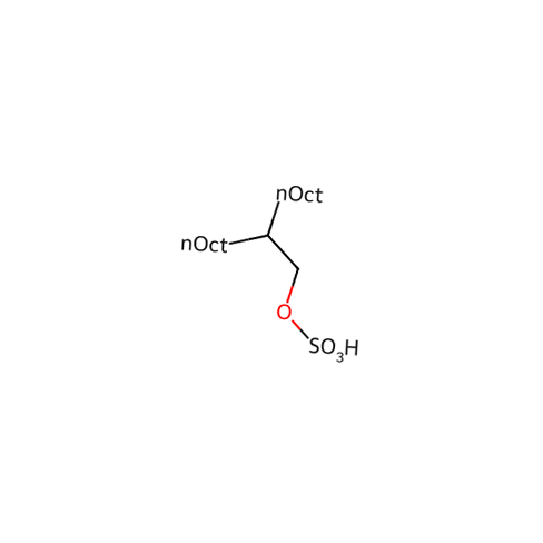 CCCCCCCCC(CCCCCCCC)COS(=O)(=O)O